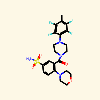 Cc1c(F)c(F)c(N2CCN(C(=O)c3cc(S(N)(=O)=O)ccc3N3CCOCC3)CC2)c(F)c1F